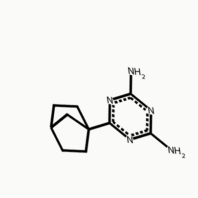 Nc1nc(N)nc(C23CCC(CC2)C3)n1